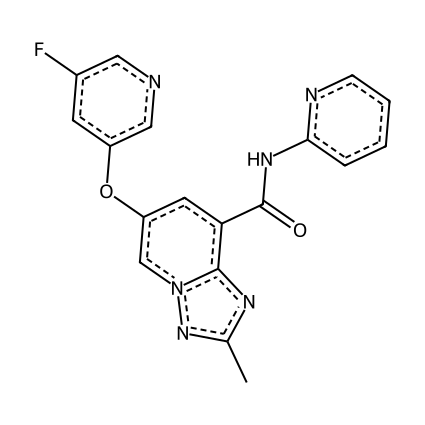 Cc1nc2c(C(=O)Nc3ccccn3)cc(Oc3cncc(F)c3)cn2n1